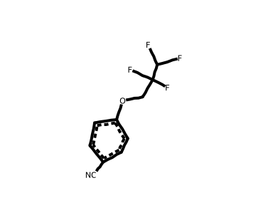 N#Cc1ccc(OCC(F)(F)C(F)F)cc1